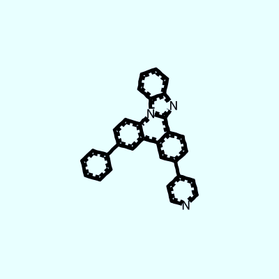 c1ccc(-c2ccc3c(c2)c2cc(-c4ccncc4)ccc2c2nc4ccccc4n32)cc1